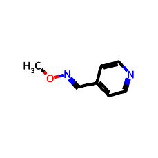 CO/N=C/c1ccncc1